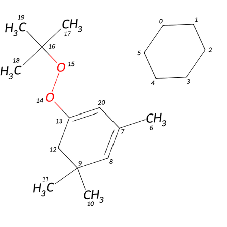 C1CCCCC1.CC1=CC(C)(C)CC(OOC(C)(C)C)=C1